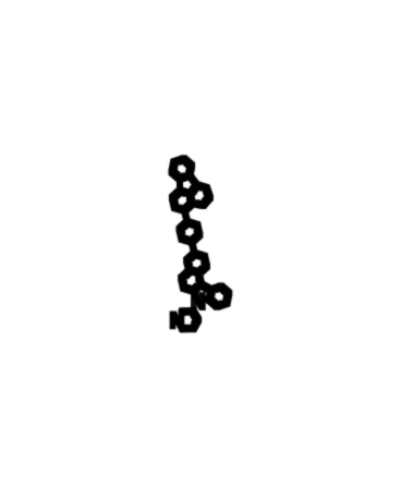 c1cncc(-n2c3ccccc3c3c4ccc(-c5ccc(-c6ccc7c8c(cccc68)-c6ccccc6-7)cc5)cc4ccc32)c1